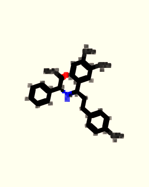 CNC(=O)[C@H](N[C@H](CCc1ccc(OC)cc1)c1ccc(OC)c(OC)c1)c1ccccc1